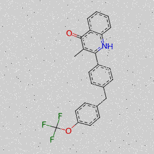 Cc1c(-c2ccc(Cc3ccc(OC(F)(F)F)cc3)cc2)[nH]c2ccccc2c1=O